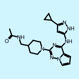 CC(=O)NCC1CCN(c2nc(Nc3cc(C4CC4)n[nH]3)c3cccn3n2)CC1